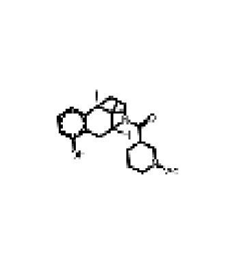 CC(=O)N1CCCC(C(=O)N2CC[C@@]3(C)c4cccc(O)c4C[C@@H]2C3(C)C)C1